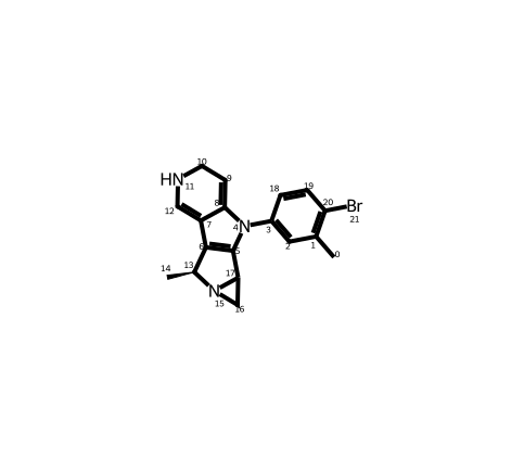 Cc1cc(-n2c3c(c4c2=CCNC=4)[C@H](C)N2CC32)ccc1Br